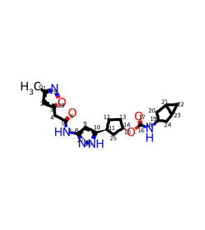 Cc1cc(CC(=O)Nc2cc([C@H]3CC[C@H](OC(=O)NC4CC5CC5C4)C3)[nH]n2)on1